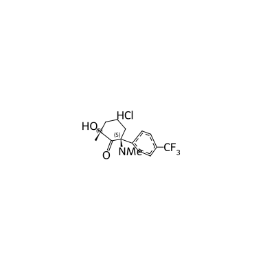 CN[C@]1(c2ccc(C(F)(F)F)cc2)CCC[C@@](C)(O)C1=O.Cl